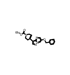 CC(C)(C)OC(=O)N1CC=C(c2cnn3cc(OCc4ccccc4)cnc23)CC1